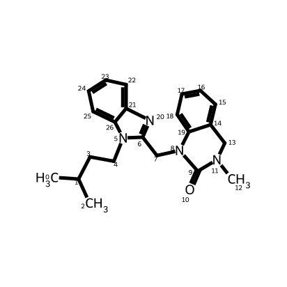 CC(C)CCn1c(CN2C(=O)N(C)Cc3ccccc32)nc2ccccc21